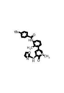 Cc1c(NC(=O)c2ccc(C(C)(C)C)cc2)cccc1-c1cc(Nc2ncco2)c(=O)n(C)c1